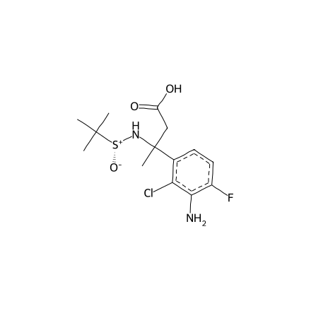 CC(CC(=O)O)(N[S@+]([O-])C(C)(C)C)c1ccc(F)c(N)c1Cl